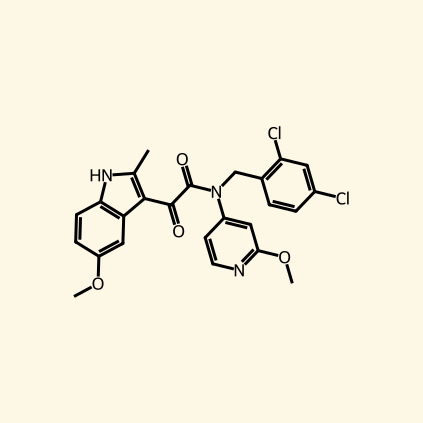 COc1ccc2[nH]c(C)c(C(=O)C(=O)N(Cc3ccc(Cl)cc3Cl)c3ccnc(OC)c3)c2c1